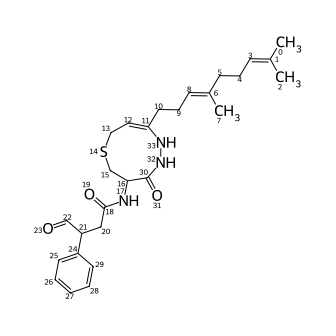 CC(C)=CCC/C(C)=C/CC/C1=C/CSCC(NC(=O)CC(C=O)c2ccccc2)C(=O)NN1